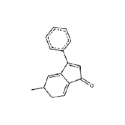 CC1C=C2C(=CC1)C(=O)C=C2c1ccccc1